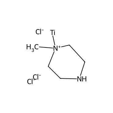 C[N+]1([Ti])CCNCC1.[Cl-].[Cl-].[Cl-]